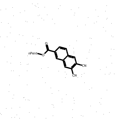 CCCCCOC(=O)c1ccc2cc(C#N)c(C#N)cc2c1